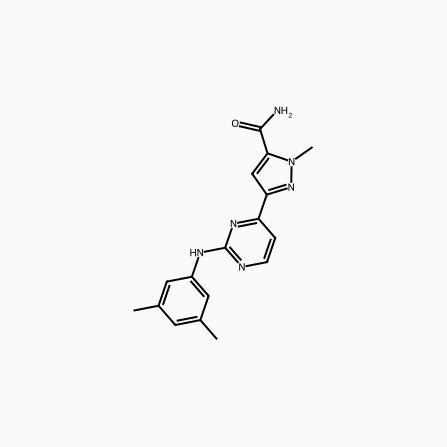 Cc1cc(C)cc(Nc2nccc(-c3cc(C(N)=O)n(C)n3)n2)c1